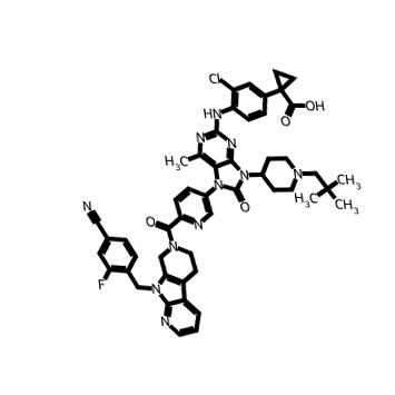 Cc1nc(Nc2ccc(C3(C(=O)O)CC3)cc2Cl)nc2c1n(-c1ccc(C(=O)N3CCc4c(n(Cc5ccc(C#N)cc5F)c5ncccc45)C3)nc1)c(=O)n2C1CCN(CC(C)(C)C)CC1